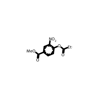 C[CH]C(=O)Oc1ccc(C(=O)OC)cc1[N+](=O)[O-]